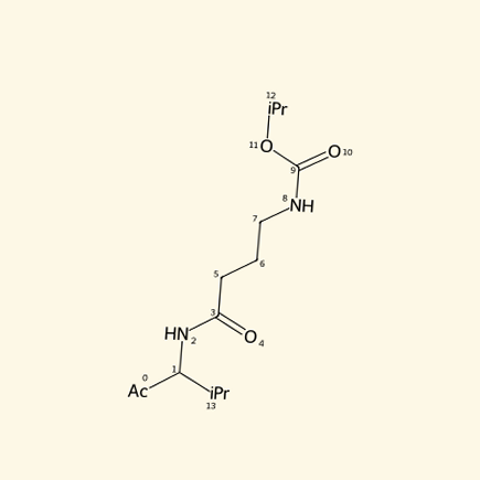 CC(=O)C(NC(=O)CCCNC(=O)OC(C)C)C(C)C